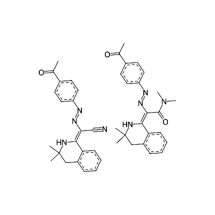 CC(=O)c1ccc(/N=N/C(C#N)=C2\NC(C)(C)Cc3ccccc32)cc1.CC(=O)c1ccc(/N=N/C(C(=O)N(C)C)=C2\NC(C)(C)Cc3ccccc32)cc1